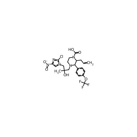 C=CCC1C(c2ccc(OC(F)(F)F)cc2)N(CC(C)(O)Cn2cc([N+](=O)[O-])nc2Cl)CCN1C(=O)O